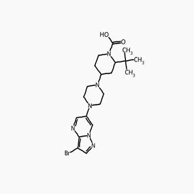 CC(C)(C)C1CC(N2CCN(c3cnc4c(Br)cnn4c3)CC2)CCN1C(=O)O